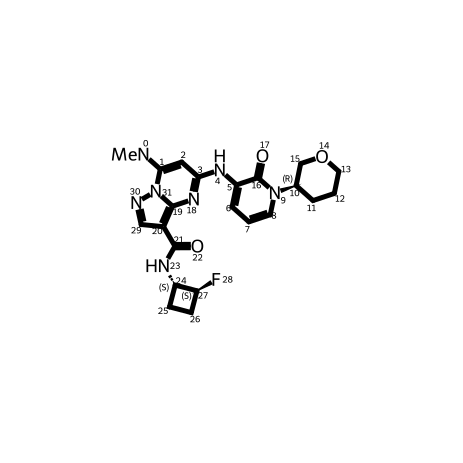 CNc1cc(Nc2cccn([C@@H]3CCCOC3)c2=O)nc2c(C(=O)N[C@H]3CC[C@@H]3F)cnn12